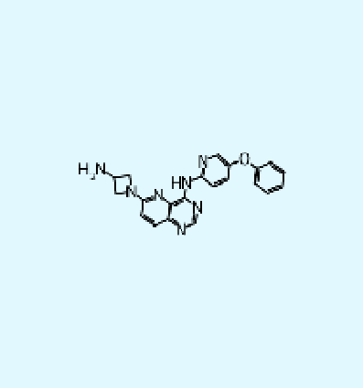 NC1CN(c2ccc3ncnc(Nc4ccc(Oc5ccccc5)cn4)c3n2)C1